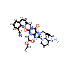 CC#CCn1c(N2CCCC(N)C2)nc2c1c(=O)n(Cc1ccc3cccc(C#N)c3n1)c(=O)n2CC(=O)OCC